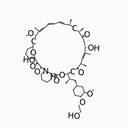 CO[C@H]1CC2CC[C@@H](C)[C@@](O)(O2)C(=O)C(=O)N2CCCC[C@H]2C(=O)O[C@H]([C@H](C)C[C@@H]2CC[C@@H](OCCO)[C@H](OC)C2)CC(=O)[C@H](C)/C=C(\C)[C@@H](O)[C@@H](C)C(=O)[C@H](C)C[C@H](C)/C=C/C=C/C=C/1C